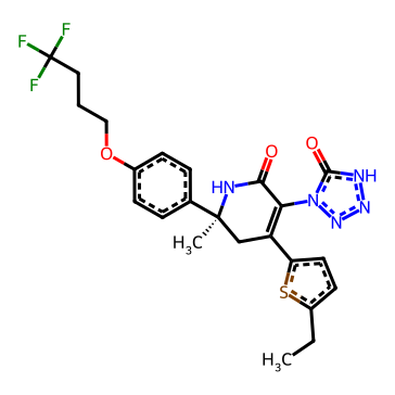 CCc1ccc(C2=C(n3nn[nH]c3=O)C(=O)N[C@](C)(c3ccc(OCCCC(F)(F)F)cc3)C2)s1